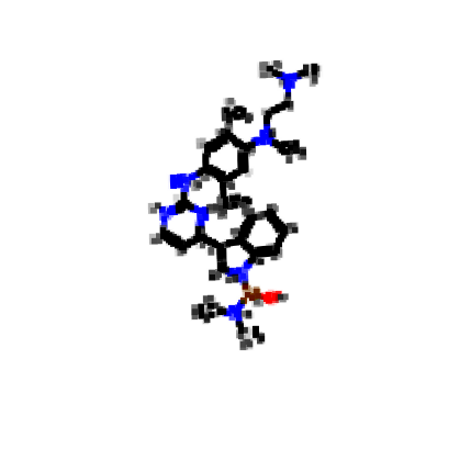 CCN(CC)CCN(C)c1cc(OC)c(Nc2nccc(-c3cn([S+]([O-])N(C)C)c4ccccc34)n2)cc1[N+](=O)[O-]